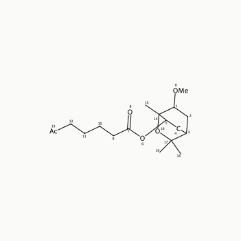 COC1CC2CC(OC(=O)CCCCC(C)=O)C1(C)OC2(C)C